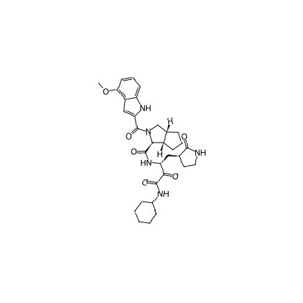 COc1cccc2[nH]c(C(=O)N3C[C@@H]4CCC[C@@H]4[C@H]3C(=O)N[C@@H](C[C@@H]3CCNC3=O)C(=O)C(=O)NC3CCCCC3)cc12